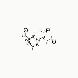 O=CCC(CF)c1cccc(C=O)c1